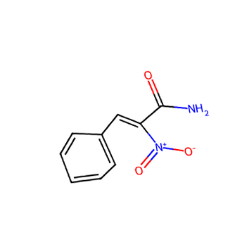 NC(=O)C(=Cc1ccccc1)[N+](=O)[O-]